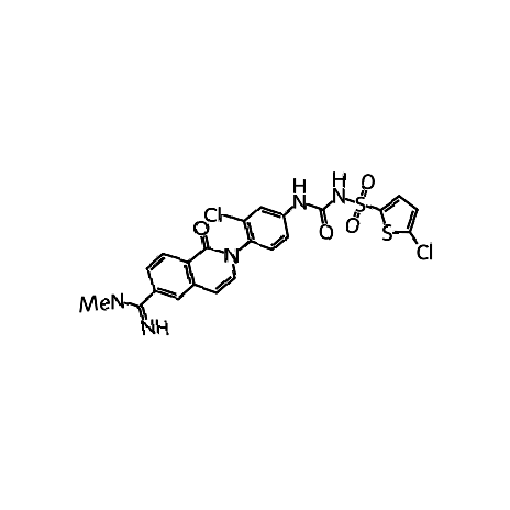 CNC(=N)c1ccc2c(=O)n(-c3ccc(NC(=O)NS(=O)(=O)c4ccc(Cl)s4)cc3Cl)ccc2c1